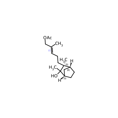 CC(=O)OC/C(C)=C/CC[C@@]1(C)[C@@H]2CC[C@@H](C2)C1(C)O